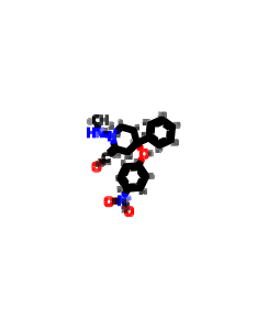 CNN1CCC(Oc2ccc([N+](=O)[O-])cc2)(c2ccccc2)CC1=C=O